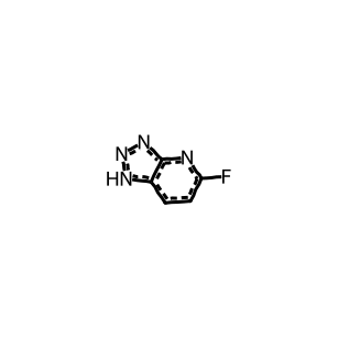 Fc1ccc2[nH]nnc2n1